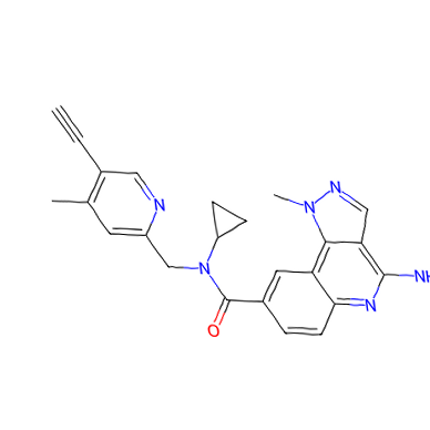 C#Cc1cnc(CN(C(=O)c2ccc3nc(N)c4cnn(C)c4c3c2)C2CC2)cc1C